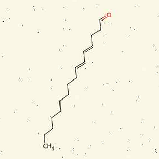 CCCCCCCCCC=CC=CCCC=O